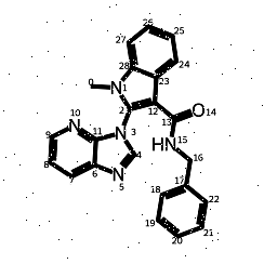 Cn1c(-n2cnc3cccnc32)c(C(=O)NCc2ccccc2)c2ccccc21